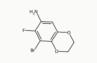 Nc1cc2c(c(Br)c1F)OCCO2